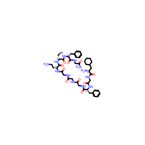 CC(C)C[C@@H](NC(=O)[C@H](CCN)NC(=O)CNC(=O)CNC(=O)CNC(=O)[C@H](Cc1ccccc1)NC(=O)CNC(=O)[C@@H](N)CC1CCCCC1)C(=O)N[C@@H](Cc1ccccc1)C(=O)NCC(N)=O